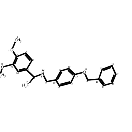 COc1ccc(C(C)NCc2ccc(OCc3ccccc3)cc2)cc1OC